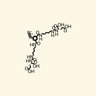 [N-]=[N+]=Nc1cc(C(=O)NCCCCCNC(=O)N[C@@H](CCC(=O)O)C(=O)O)cc(C(=O)NCCCCCNC(=O)N[C@@H](CCC(=O)O)C(=O)O)c1